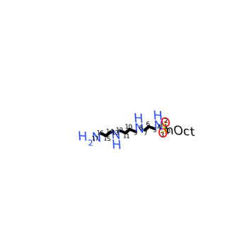 CCCCCCCCS(=O)(=O)NCCCNCCCCNCCCN